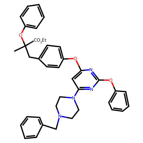 CCOC(=O)C(C)(Cc1ccc(Oc2cc(N3CCN(Cc4ccccc4)CC3)nc(Oc3ccccc3)n2)cc1)Oc1ccccc1